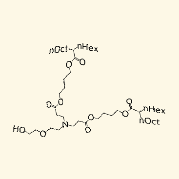 CCCCCCCCC(CCCCCC)C(=O)OCCCCOC(=O)CCN(CCOCCO)CCC(=O)OCCCCOC(=O)C(CCCCCC)CCCCCCCC